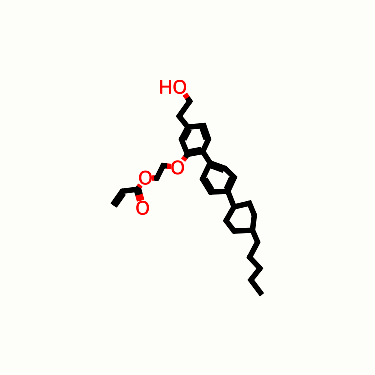 C=CC(=O)OCCOc1cc(CCO)ccc1-c1ccc(C2CCC(CCCCC)CC2)cc1